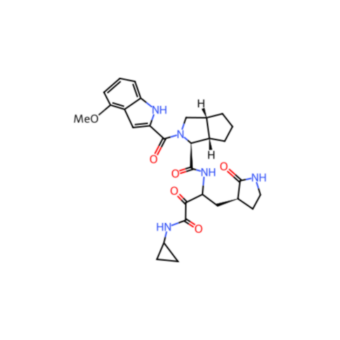 COc1cccc2[nH]c(C(=O)N3C[C@@H]4CCC[C@@H]4[C@H]3C(=O)NC(C[C@@H]3CCNC3=O)C(=O)C(=O)NC3CC3)cc12